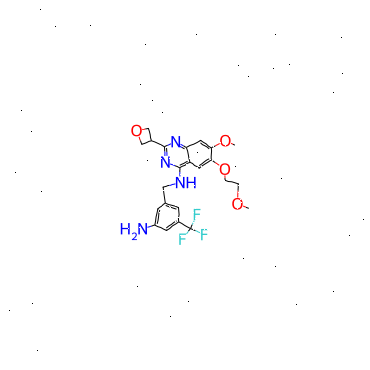 COCCOc1cc2c(NCc3cc(N)cc(C(F)(F)F)c3)nc(C3COC3)nc2cc1OC